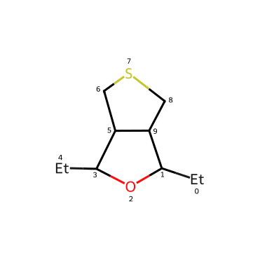 CCC1OC(CC)C2CSCC12